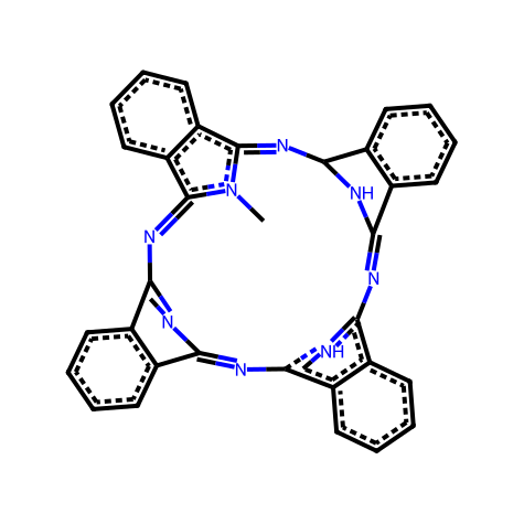 Cn1/c2c3ccccc3/c1=N\C1=NC(=N\c3[nH]c(c4ccccc34)/N=C3\NC(/N=2)c2ccccc23)/c2ccccc21